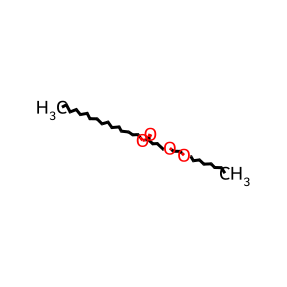 CCCCCCCCCCCCCCCCOC(=O)CCCOCCOCCCCCCCC